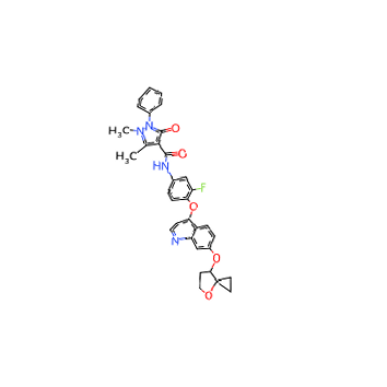 Cc1c(C(=O)Nc2ccc(Oc3ccnc4cc(OC5CCOC56CC6)ccc34)c(F)c2)c(=O)n(-c2ccccc2)n1C